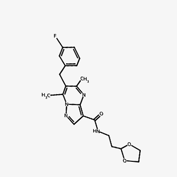 Cc1nc2c(C(=O)NCCC3OCCO3)cnn2c(C)c1Cc1cccc(F)c1